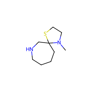 CN1CCSC12CCCCNC2